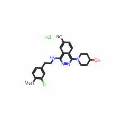 COc1ccc(CCNc2nnc(N3CCC(O)CC3)c3ccc(C#N)cc23)cc1Cl.Cl